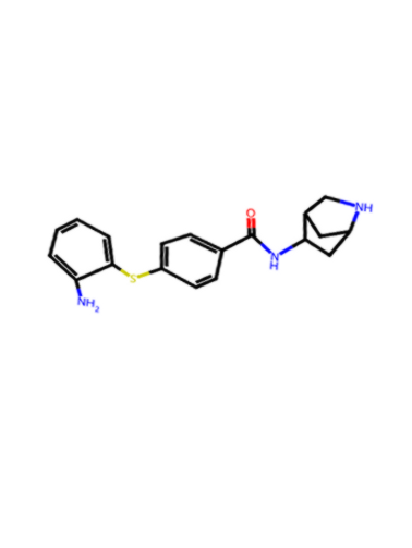 Nc1ccccc1Sc1ccc(C(=O)NC2CC3CC2CN3)cc1